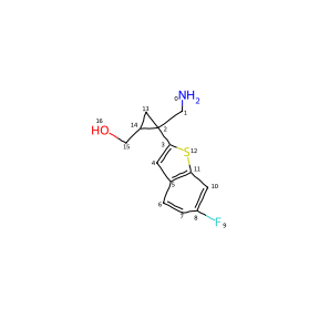 NCC1(c2cc3ccc(F)cc3s2)CC1CO